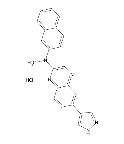 CN(c1ccc2ccccc2c1)c1cnc2cc(-c3cn[nH]c3)ccc2n1.Cl